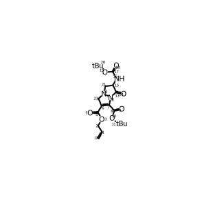 C=CCOC(=O)C1=C(C(=O)OC(C)(C)C)N2C(=O)C(NC(=O)OC(C)(C)C)CN2C1